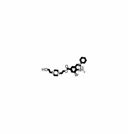 CCN(Cc1cc(C(=O)OCCN2CCN(CCO)CC2)cc(Br)c1N)C1CCCCC1